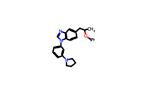 CC(C)OC(C)Cc1ccc2c(c1)ncn2-c1cccc(N2CCCC2)c1